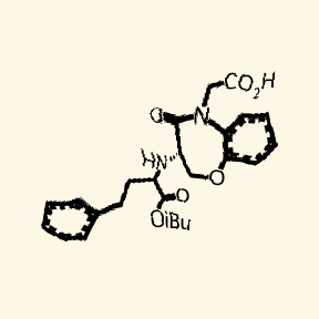 CC(C)COC(=O)C(CCc1ccccc1)N[C@H]1COc2ccccc2N(CC(=O)O)C1=O